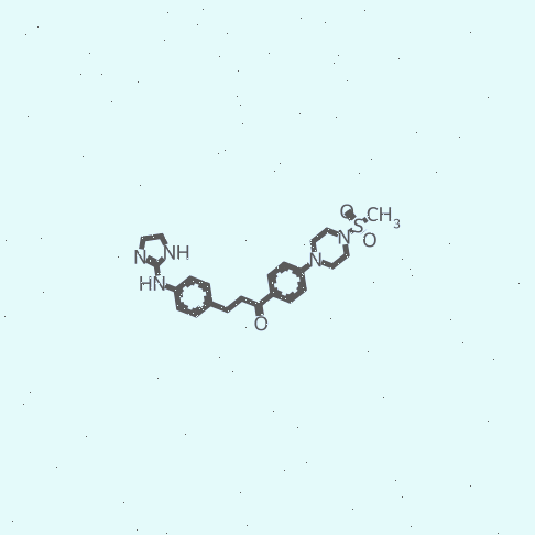 CS(=O)(=O)N1CCN(c2ccc(C(=O)CCc3ccc(NC4=NCCN4)cc3)cc2)CC1